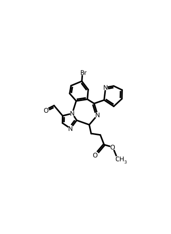 COC(=O)CCC1N=C(c2ccccn2)c2cc(Br)ccc2-n2c(C=O)cnc21